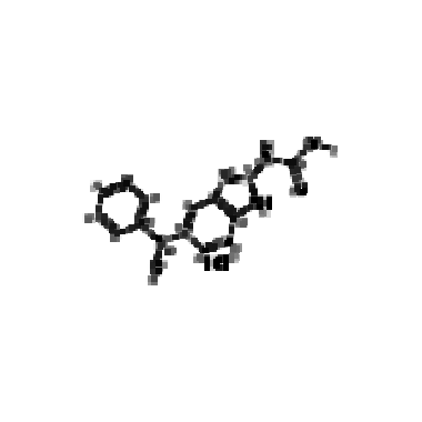 COC(=O)Nc1nc2cc([S+]([O-])c3ccccc3)ccc2[nH]1.Cl